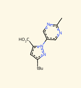 Cc1ncc(-n2nc(C(C)(C)C)cc2C(=O)O)cn1